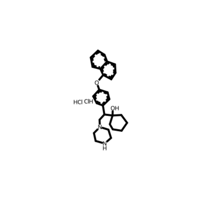 Cl.Cl.OC1(C(CN2CCNCC2)c2ccc(Oc3cccc4ccccc34)cc2)CCCCC1